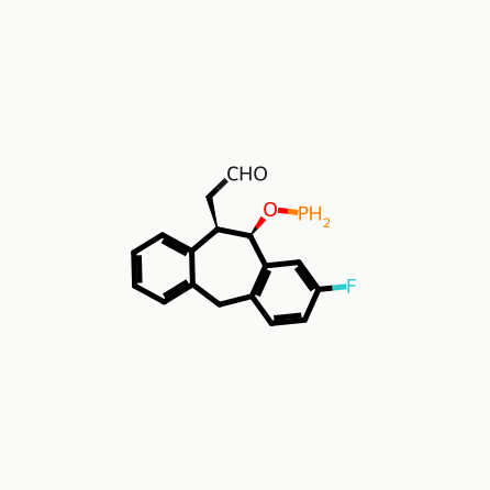 O=CC[C@@H]1c2ccccc2Cc2ccc(F)cc2[C@@H]1OP